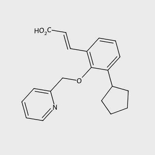 O=C(O)C=Cc1cccc(C2CCCC2)c1OCc1ccccn1